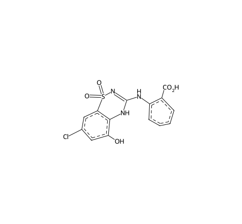 O=C(O)c1ccccc1NC1=NS(=O)(=O)c2cc(Cl)cc(O)c2N1